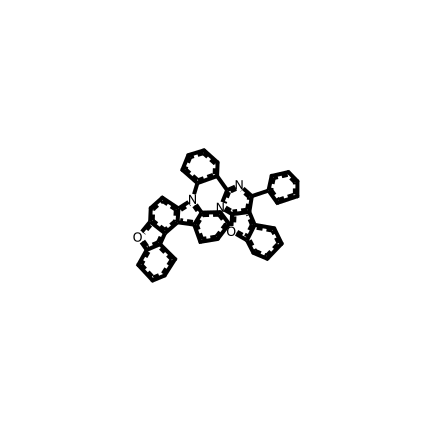 c1ccc(-c2nc(-c3ccccc3-n3c4ccccc4c4c5c(ccc43)oc3ccccc35)nc3oc4ccccc4c23)cc1